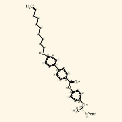 C=CCCCCCCCCOc1ccc(-c2ccc(C(=O)Oc3ccc(O[C@@H](C)CCCCC)cc3)cc2)cc1